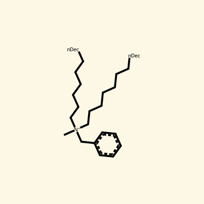 CCCCCCCCCCCCCCCCC[N+](C)(CCCCCCCCCCCCCCCC)Cc1ccccc1